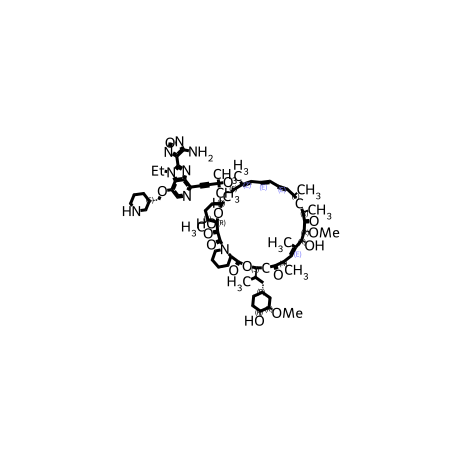 CCn1c(-c2nonc2N)nc2c(C#CC(C)(C)O[C@H]3C[C@@H]4CC[C@@H](C)[C@@](O)(O4)C(=O)C(=O)N4CCCCC4C(=O)O[C@H](C(C)C[C@H]4CC[C@@H](O)[C@H](OC)C4)CC(=O)[C@H](C)/C=C(\C)[C@@H](O)[C@@H](OC)C(=O)[C@H](C)C[C@H](C)/C=C/C=C/C=C\3C)ncc(OC[C@H]3CCCNC3)c21